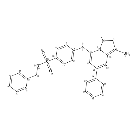 Bc1cnn2c(Nc3ccc(S(=O)(=O)NCc4ccccn4)cc3)cc(-c3ccccc3)nc12